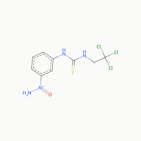 N[N+](=O)c1cccc(NC(=S)N[CH]C(Cl)(Cl)Cl)c1